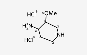 COC1CNCCC1N.Cl.Cl